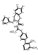 Cc1nccc(-c2ccc(C[C@H](NC(=O)[C@@H]3Cc4cc(I)c(I)cc4CN3Cc3cccnc3)C(=O)O)cc2)c1C